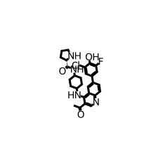 CC(=O)c1cnc2ccc(-c3cc(F)c(O)c(Cl)c3)cc2c1NC1CCC(NC(=O)[C@@H]2CCCN2)CC1